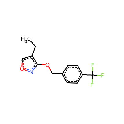 CCc1conc1OCc1ccc(C(F)(F)F)cc1